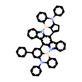 C1=C2C3=C(C1)N(c1ccccc1)c1ccccc1B3n1c3ccccc3c3c4c5c(c2c31)c1ccccc1n5B1c2ccccc2N(c2ccccc2)c2cc(-c3ccccc3)cc-4c21